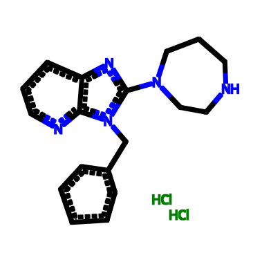 Cl.Cl.c1ccc(Cn2c(N3CCCNCC3)nc3cccnc32)cc1